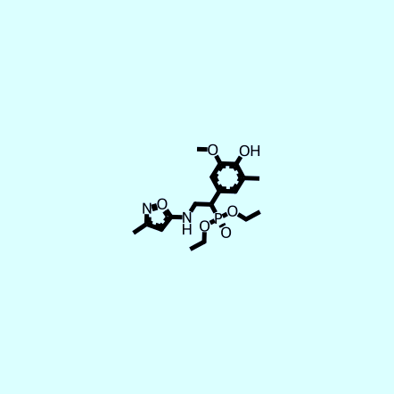 CCOP(=O)(OCC)C(CNc1cc(C)no1)c1cc(C)c(O)c(OC)c1